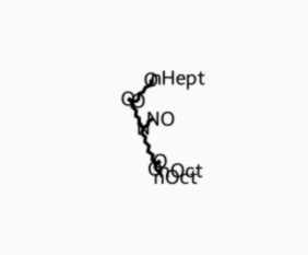 CCCCCCCCC(CCCCCCCC)OC(=O)CCCCCCCN(CCCCCC(=O)OCCCCOCCCCCCC)CCN=O